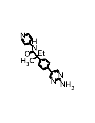 CCC(C)(C(=O)Nc1ccncc1)c1ccc(-c2cnc(N)nc2)cc1